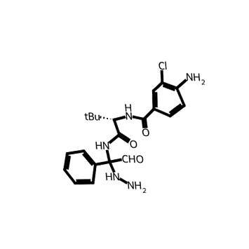 CC(C)(C)[C@H](NC(=O)c1ccc(N)c(Cl)c1)C(=O)NC(C=O)(NN)c1ccccc1